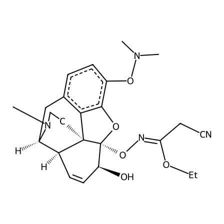 CCOC(CC#N)=NO[C@@]12Oc3c(ON(C)C)ccc4c3[C@@]13CCN(C)[C@H](C4)[C@@H]3C=C[C@@H]2O